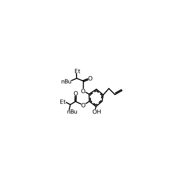 C=CCc1cc(O)c(OC(=O)C(CC)CCCC)c(OC(=O)C(CC)CCCC)c1